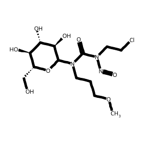 COCCCN(C(=O)N(CCCl)N=O)C1O[C@H](CO)[C@@H](O)[C@H](O)[C@H]1O